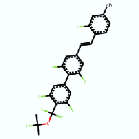 CCCc1ccc(/C=C/c2cc(F)c(-c3cc(F)c(C(F)(F)OC(C)(C)F)c(F)c3)c(F)c2)c(F)c1